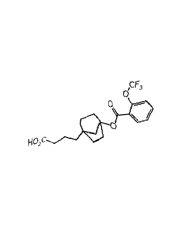 O=C(O)CCCC12CCC(OC(=O)c3ccccc3OC(F)(F)F)(CC1)C2